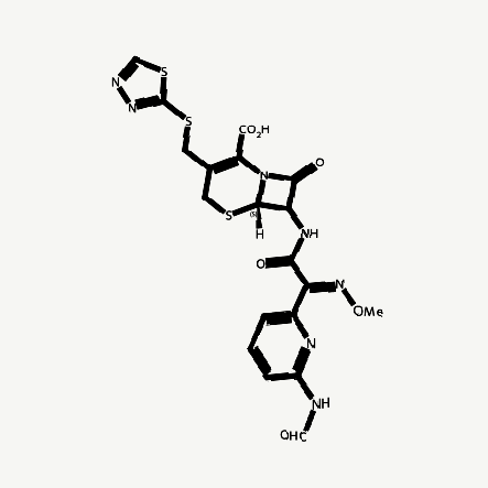 CON=C(C(=O)NC1C(=O)N2C(C(=O)O)=C(CSc3nncs3)CS[C@@H]12)c1cccc(NC=O)n1